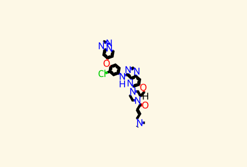 CN(C)C/C=C/C(=O)N1CCN2C[C@@H]1COc1cc3ncnc(Nc4ccc(Oc5ccn6ncnc6c5)c(Cl)c4)c3nc12